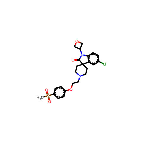 CS(=O)(=O)c1ccc(OCCN2CCC3(CC2)C(=O)N(C2COC2)c2ccc(Cl)cc23)cc1